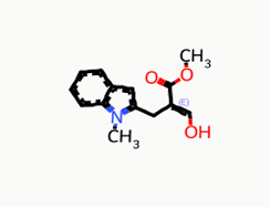 COC(=O)/C(=C/O)Cc1cc2ccccc2n1C